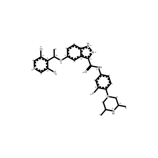 CC1CN(c2ccc(NC(=O)c3n[nH]c4ccc(OC(C)c5c(Cl)cncc5Cl)cc34)cc2F)CC(C)N1